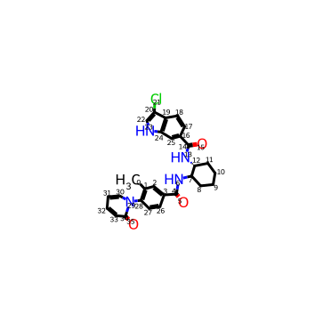 Cc1cc(C(=O)NC2CCCC[C@H]2NC(=O)c2ccc3c(Cl)c[nH]c3c2)ccc1-n1ccccc1=O